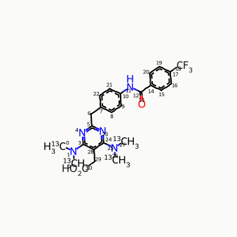 [13CH3]N([13CH3])c1nc(Cc2ccc(NC(=O)c3ccc(C(F)(F)F)cc3)cc2)nc(N([13CH3])[13CH3])c1CC(=O)O